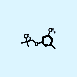 Cc1cc(OCC(C)(C)C(F)(F)F)cc(C(F)(F)F)c1